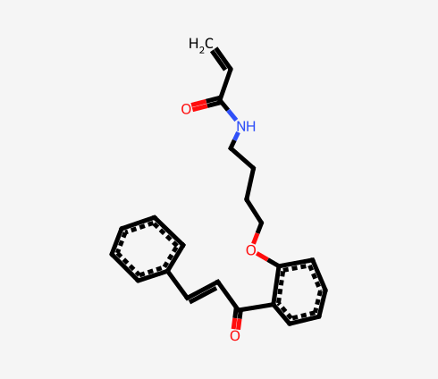 C=CC(=O)NCCCCOc1ccccc1C(=O)C=Cc1ccccc1